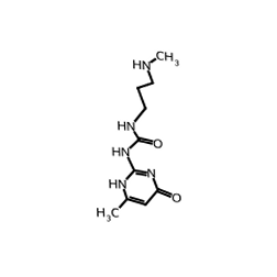 CNCCCNC(=O)Nc1nc(=O)cc(C)[nH]1